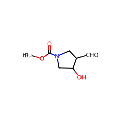 CC(C)(C)OC(=O)N1CC(O)C(C=O)C1